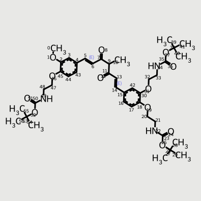 COc1cc(/C=C/C(=O)C(C)C(=O)/C=C/c2ccc(OCCNC(=O)OC(C)(C)C)c(OCCNC(=O)OC(C)(C)C)c2)ccc1OCCNC(=O)OC(C)(C)C